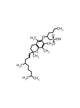 CCCCC(CS(=O)(=O)O)Oc1c(C)c(C)c2c(c1C)CCC(C)(/C=C/CC(C)CCCC(C)C)O2